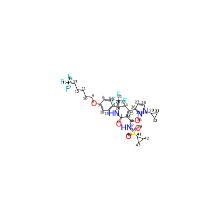 O=C1N[C@@](c2ccc(OCCCCCC(F)(F)F)cc2)(C(F)(F)F)CC(c2ccn(C3CC3)n2)=C1C(=O)NS(=O)(=O)C1CC1